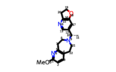 COc1ccc2c(n1)CCN([C@@H](C)c1cnc3c(c1)OCC3)CC2